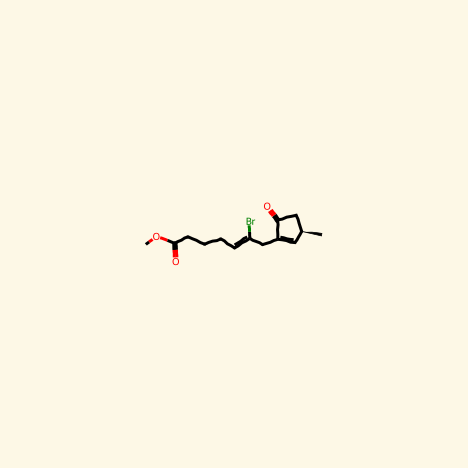 COC(=O)CCC/C=C(\Br)CC1=C[C@H](C)CC1=O